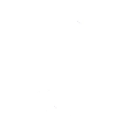 Cc1cc(C(=O)ON2C(=O)CCC2=O)cc(C)c1OC(=O)C1c2ccccc2N(C)c2ccc(O)cc21